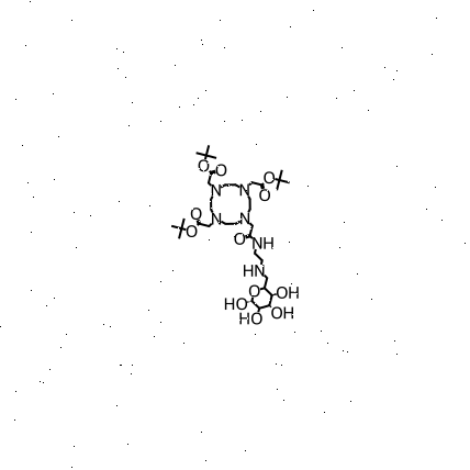 CC(C)(C)OC(=O)CN1CCN(CC(=O)NCCNCC2O[C@@H](O)C(O)[C@@H](O)[C@@H]2O)CCN(CC(=O)OC(C)(C)C)CCN(CC(=O)OC(C)(C)C)CC1